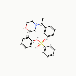 C[C@@H](c1ccccc1)N1CCO[C@@H](c2ccccc2OS(=O)(=O)c2ccccc2)C1